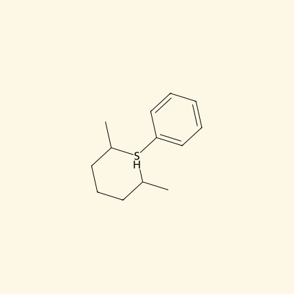 CC1CCCC(C)[SH]1c1ccccc1